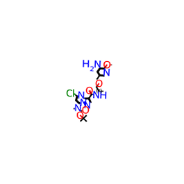 COc1ncc(COC[C@@H](C)NC(=O)c2cnn3c(N(C)C(=O)OC(C)(C)C)cc(Cl)nc23)cc1N